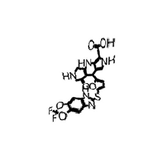 O=C1CNCC2=C1C(c1ccc(Sc3nc4cc5c(cc4[nH]3)OC(F)(F)O5)o1)c1c[nH]c(C(=O)O)c1N2